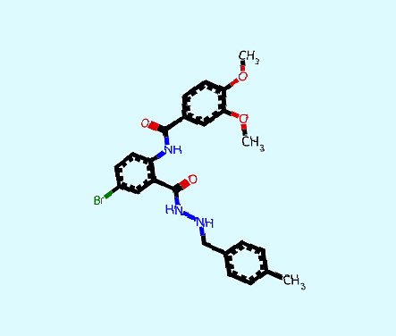 COc1ccc(C(=O)Nc2ccc(Br)cc2C(=O)NNCc2ccc(C)cc2)cc1OC